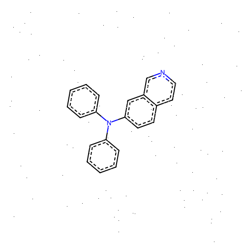 c1ccc(N(c2ccccc2)c2ccc3ccncc3c2)cc1